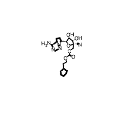 N#C[C@]1(COC(=O)OCCc2ccccc2)O[C@@H](c2ccc3c(N)ncnn23)[C@H](O)[C@@H]1O